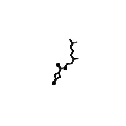 CC(C)=CCCC(C)CCOC(=O)C1CC(=O)C1